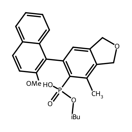 CCC(C)OP(=O)(O)c1c(-c2c(OC)ccc3ccccc23)cc2c(c1C)COC2